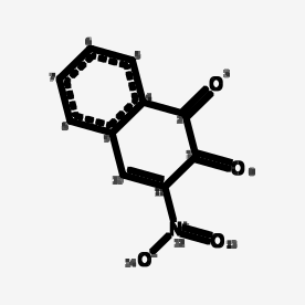 O=C1C(=O)c2ccccc2C=C1[N+](=O)[O-]